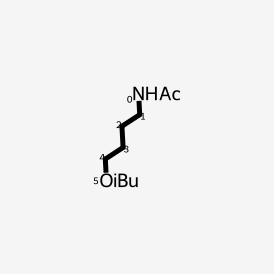 CC(=O)NCCCCOCC(C)C